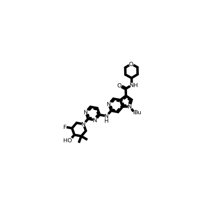 CCC(C)n1cc(C(=O)NC2CCOCC2)c2cnc(Nc3ccnc(N4CC(F)C(O)C(C)(C)C4)n3)cc21